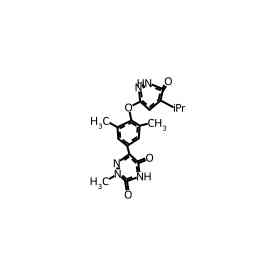 Cc1cc(-c2nn(C)c(=O)[nH]c2=O)cc(C)c1Oc1cc(C(C)C)c(=O)[nH]n1